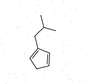 CC(C)CC1=CCC=C1